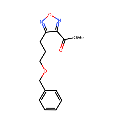 COC(=O)c1nonc1CCCOCc1ccccc1